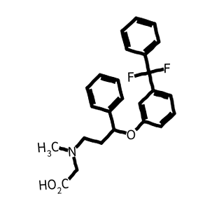 CN(CCC(Oc1cccc(C(F)(F)c2ccccc2)c1)c1ccccc1)CC(=O)O